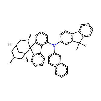 C[C@H]1C[C@@H]2C[C@H](C1)C1(c3ccccc3-c3c(N(c4ccc5c(c4)C(C)(C)c4ccccc4-5)c4ccc5ccccc5c4)cccc31)[C@H](C)C2